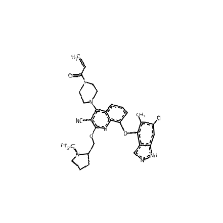 C=CC(=O)N1CCN(c2c(C#N)c(OCC3CCCN3C)nc3c(Oc4c(C)c(Cl)cc5[nH]ncc45)cccc23)CC1